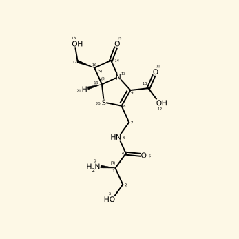 N[C@H](CO)C(=O)NCC1=C(C(=O)O)N2C(=O)[C@H](CO)[C@H]2S1